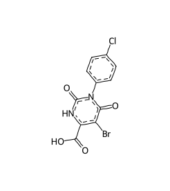 O=C(O)c1[nH]c(=O)n(-c2ccc(Cl)cc2)c(=O)c1Br